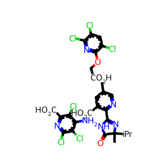 Cc1cnc(C2=NC(C)(C(C)C)C(=O)N2)c(C(=O)O)c1.Nc1c(Cl)c(Cl)nc(C(=O)O)c1Cl.O=C(O)COc1nc(Cl)c(Cl)cc1Cl